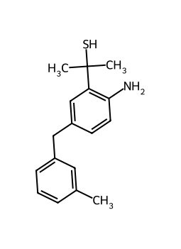 Cc1cccc(Cc2ccc(N)c(C(C)(C)S)c2)c1